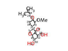 COc1cc(-c2coc3cc(CO)cc(CO)c3c2=O)ccc1OCC=C(C)C